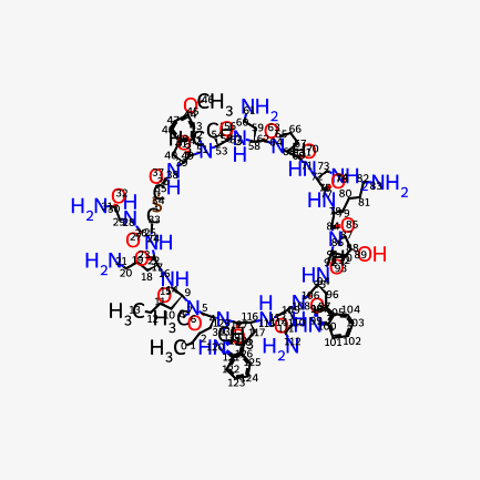 CCCC[C@H]1C(=O)N(C)[C@@H](CCCC)C(=O)N[C@@H](CCCN)C(=O)N[C@H](C(=O)NCC(N)=O)CSCC(=O)N[C@@H](Cc2ccc(OC)cc2)C(=O)N(C)[C@@H](C)C(=O)N[C@@H](CCN)C(=O)N2CCC[C@H]2C(=O)N[C@@H](CN)C(=O)N[C@@H](CCCCN)C(=O)N2C[C@H](O)C[C@H]2C(=O)N[C@@H](Cc2c[nH]c3ccccc23)C(=O)N[C@@H](CCN)C(=O)N[C@@H](Cc2c[nH]c3ccccc23)C(=O)N1C